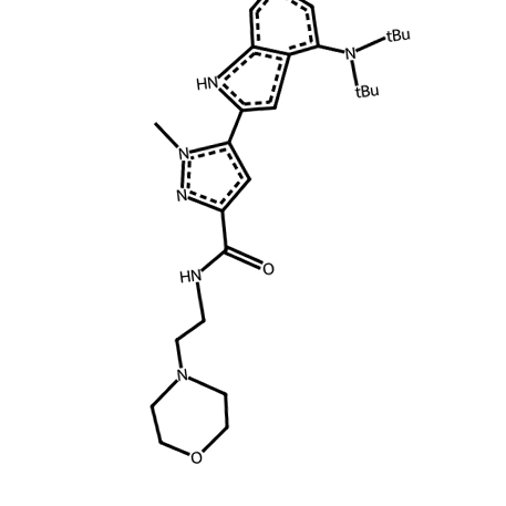 Cn1nc(C(=O)NCCN2CCOCC2)cc1-c1cc2c(N(C(C)(C)C)C(C)(C)C)cccc2[nH]1